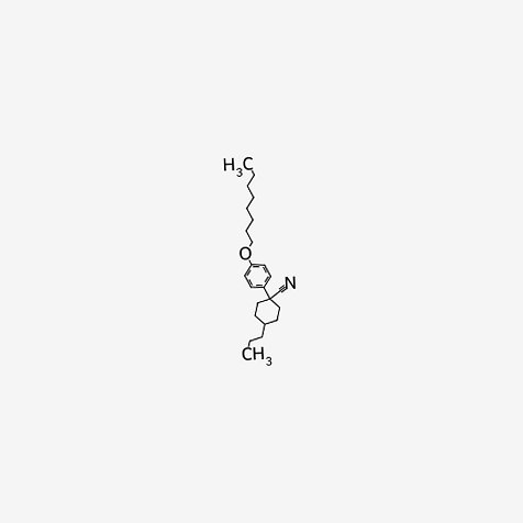 CCCCCCCCOc1ccc(C2(C#N)CCC(CCC)CC2)cc1